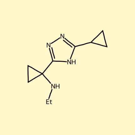 CCNC1(c2nnc(C3CC3)[nH]2)CC1